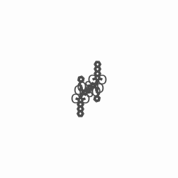 O=C1C(=Cc2cc3sc4c(sc5cc(C=C6C(=O)c7cc8cc9ccccc9cc8cc7C6=O)n(C(=O)OCc6ccccc6)c54)c3n2C(=O)OCc2ccccc2)C(=O)c2cc3cc4ccccc4cc3cc21